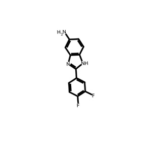 Nc1ccc2[nH]c(-c3ccc(F)c(F)c3)nc2c1